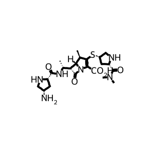 C[C@@H](NC(=O)[C@@H]1C[C@H](N)CN1)[C@H]1C(=O)N2C(C(=O)O)=C(S[C@@H]3CN[C@H](C(=O)N(C)C)C3)[C@H](C)[C@@H]12